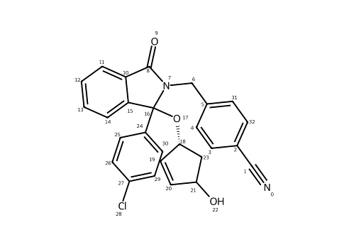 N#Cc1ccc(CN2C(=O)c3ccccc3C2(O[C@H]2C=CC(O)C2)c2ccc(Cl)cc2)cc1